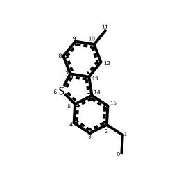 CCc1ccc2sc3ccc(C)cc3c2c1